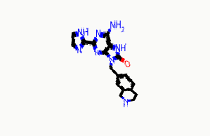 Nc1nc(-c2ncc[nH]2)nc2c1[nH]c(=O)n2Cc1ccc2c(c1)CNCC2